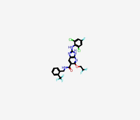 O=C(NCc1ccccc1C(F)(F)F)c1cc2nc(Nc3c(Cl)cc(F)cc3Cl)[nH]c2nc1OCC(F)F